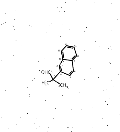 CC(C)(C=O)c1ccc2ccccc2c1